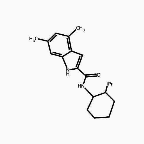 Cc1cc(C)c2cc(C(=O)NC3CCCCC3C(C)C)[nH]c2c1